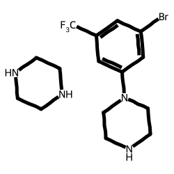 C1CNCCN1.FC(F)(F)c1cc(Br)cc(N2CCNCC2)c1